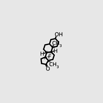 C[C@]12CCC(O)CC1CC[C@@H]1[C@H]2CC[C@]2(C)C(=O)CC[C@@]12F